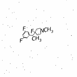 C[C@H](c1cc(F)cc(F)c1)C1(F)CCN(C)CC1